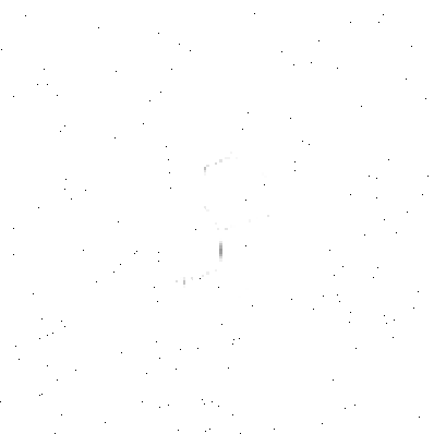 CCCC([O])C1CCNCC1